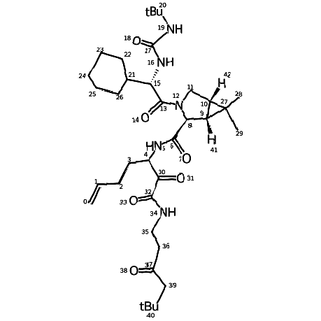 C=CCCC(NC(=O)[C@@H]1[C@@H]2[C@H](CN1C(=O)[C@@H](NC(=O)NC(C)(C)C)C1CCCCC1)C2(C)C)C(=O)C(=O)NCCC(=O)CC(C)(C)C